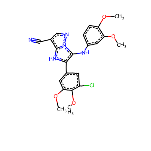 COc1ccc(Nc2c(-c3cc(Cl)c(OC)c(OC)c3)[nH]c3c(C#N)cnn23)cc1OC